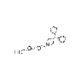 OCCOCCOCCN1CCC(=C(c2ccccc2)c2ccccc2)CC1